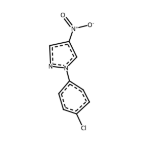 O=[N+]([O-])c1cnn(-c2ccc(Cl)cc2)c1